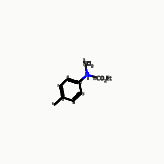 CCOC(=O)N(c1ccc(C)cc1)[N+](=O)[O-]